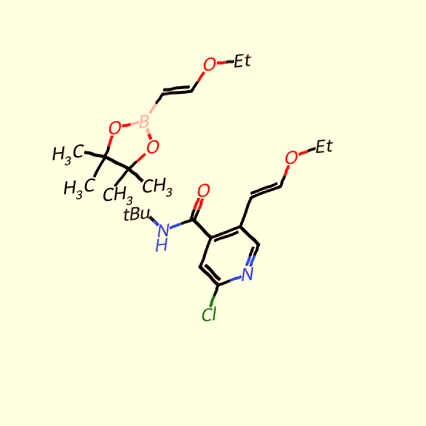 CCO/C=C/B1OC(C)(C)C(C)(C)O1.CCO/C=C/c1cnc(Cl)cc1C(=O)NC(C)(C)C